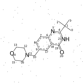 CC(C)(C)c1nc2ccc(CN3CCOCC3)cc2c(=O)[nH]1